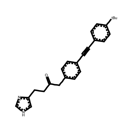 CC(C)(C)c1ccc(C#Cc2ccc(CC(=O)CCc3c[nH]cn3)cc2)cc1